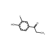 CCC(=O)c1ccc(O)c(I)c1